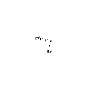 [Ba+2].[F-].[F-].[F-].[F-].[Pb+2]